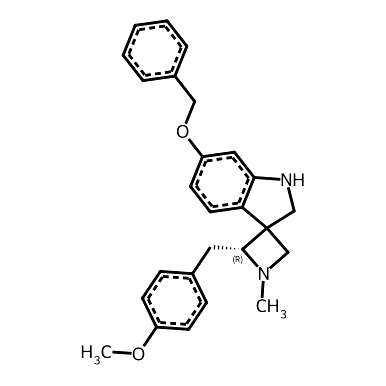 COc1ccc(C[C@H]2N(C)CC23CNc2cc(OCc4ccccc4)ccc23)cc1